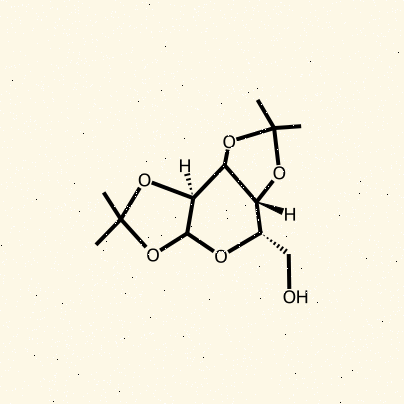 CC1(C)OC2O[C@@H](CO)[C@H]3OC(C)(C)OC3[C@@H]2O1